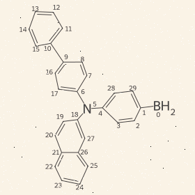 Bc1ccc(N(c2ccc(-c3ccccc3)cc2)c2ccc3ccccc3c2)cc1